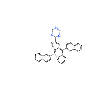 c1ccc2cc(-c3c4ccccc4c(-c4ccc5ccccc5c4)c4cc(-c5ncncn5)ccc34)ccc2c1